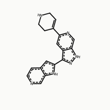 C1=C(c2cc3c(-c4cc5ccncc5[nH]4)n[nH]c3cn2)CCNC1